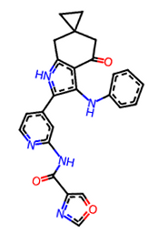 O=C(Nc1cc(-c2[nH]c3c(c2Nc2ccccc2)C(=O)CC2(CC2)C3)ccn1)c1cocn1